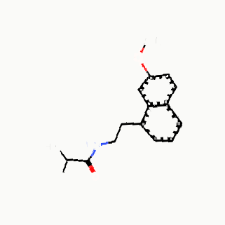 COc1ccc2cccc(CCNC(=O)C(C)C)c2c1